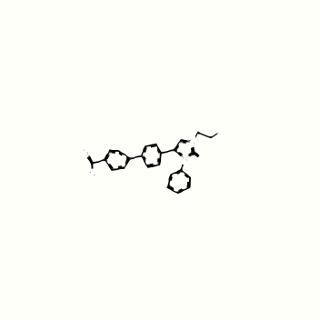 N=C(N)c1ccc(-c2ccc(-c3cn(CCC(=O)O)c(=O)n3-c3ccccc3)cc2)cc1